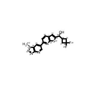 Cn1nnc2ncc(-c3ccc4cc([C@@H](O)C5CC(F)(F)C5)sc4n3)cc21